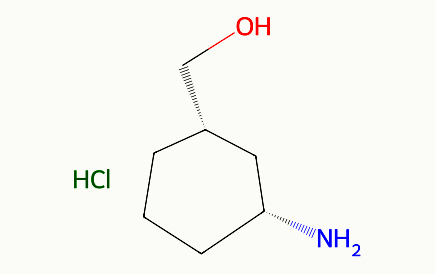 Cl.N[C@@H]1CCC[C@H](CO)C1